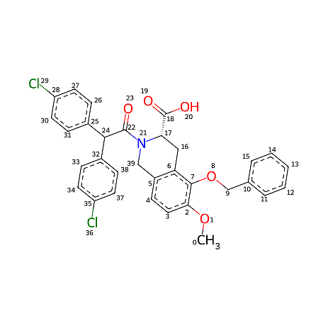 COc1ccc2c(c1OCc1ccccc1)C[C@@H](C(=O)O)N(C(=O)C(c1ccc(Cl)cc1)c1ccc(Cl)cc1)C2